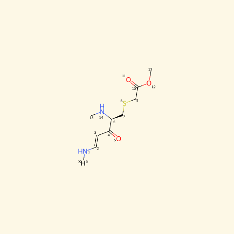 [3H]NC=CC(=O)[C@H](CSCC(=O)OC)NC